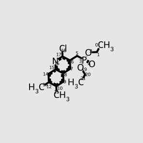 CCOP(=O)(Cc1cc2cc(C)c(C)cc2nc1Cl)OCC